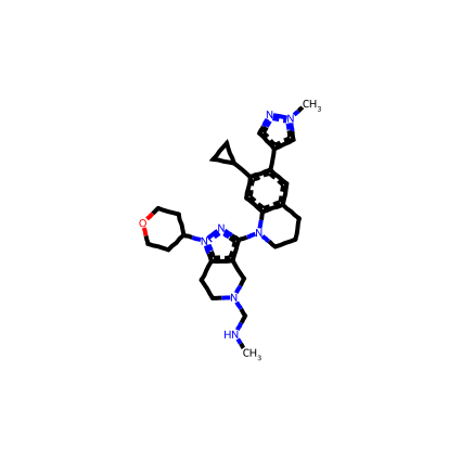 CNCN1CCc2c(c(N3CCCc4cc(-c5cnn(C)c5)c(C5CC5)cc43)nn2C2CCOCC2)C1